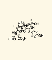 CCC(C)[C@H](NC(=O)C(Cc1ccc(O)cc1)NC(=O)C(C)O)C(=O)N[C@@H](C)C(=O)N[C@H](CC=O)CC(=O)O